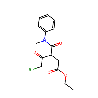 CCOC(=O)CC(C(=O)CBr)C(=O)N(C)c1ccccc1